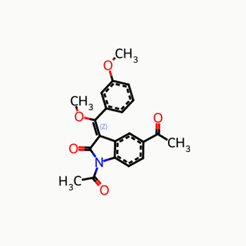 CO/C(=C1\C(=O)N(C(C)=O)c2ccc(C(C)=O)cc21)c1cccc(OC)c1